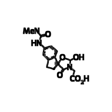 CNC(=O)Nc1ccc2c(c1)CC[C@]21OC(O)N(CC(=O)O)C1=O